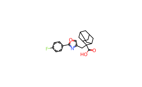 O=C(O)C1(Cc2coc(-c3ccc(F)cc3)n2)C2CC3CC(C2)CC1C3